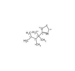 CC(C)C(C)C(C)(C)C1=NCCO1